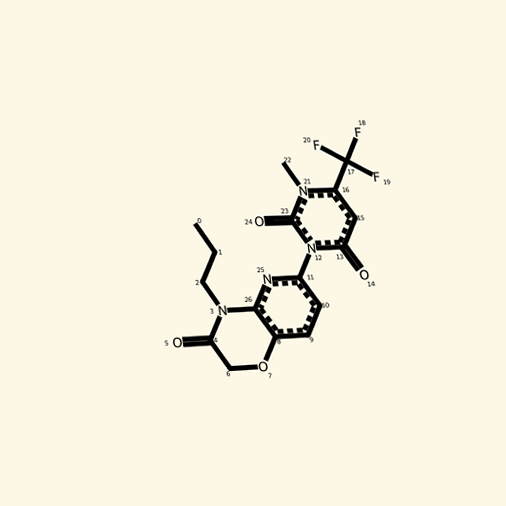 CCCN1C(=O)COc2ccc(-n3c(=O)cc(C(F)(F)F)n(C)c3=O)nc21